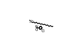 CCCCCCCCCCCCCCCC[N+](C)(C)C.O=C([O-])c1cccc(Cl)c1